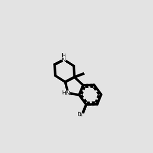 CC12CNCCC1Nc1c(Br)cccc12